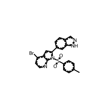 Cc1ccc(S(=O)(=O)n2c(-c3ccc4cn[nH]c4c3)cc3c(Br)ccnc32)cc1